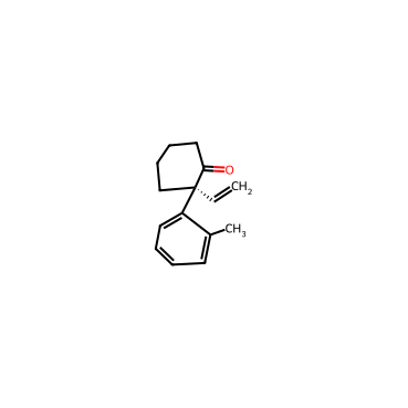 C=C[C@]1(c2ccccc2C)CCCCC1=O